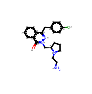 NCCN1CCC[C@@H]1Cn1nc(Cc2ccc(Cl)cc2)c2ccccc2c1=O